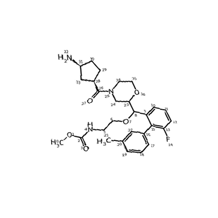 COC(=O)NCCOC(c1cccc(F)c1-c1cccc(C)c1)C1CN(C(=O)[C@@H]2CC[C@H](N)C2)CCO1